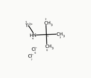 CC(C)(C)[NH][Ti+2].[Cl-].[Cl-]